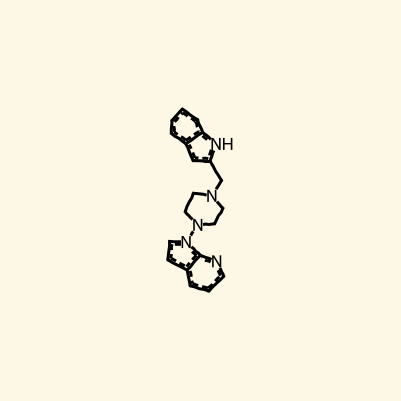 c1ccc2[nH]c(CN3CCN(n4ccc5cccnc54)CC3)cc2c1